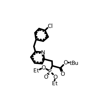 CCOP(=O)(OCC)C(Cc1cccc(Cc2ccc(Cl)cc2)n1)C(=O)OC(C)(C)C